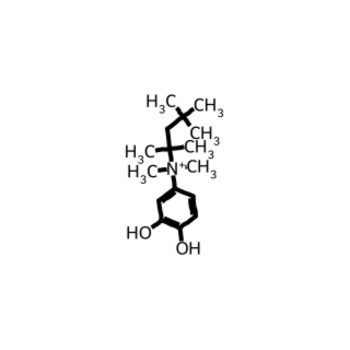 CC(C)(C)CC(C)(C)[N+](C)(C)c1ccc(O)c(O)c1